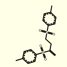 C=C(CCS(=O)(=O)c1ccc(C)cc1)S(=O)(=O)c1ccc(C)cc1